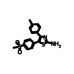 Cc1ccc(-c2nc(N)sc2-c2ccc(S(C)(=O)=O)cc2)cc1